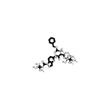 C[C@@H](O[Si](C)(C)C(C)(C)C)[C@H](C(=O)Nc1ccc2c(cnn2C(=O)OC(C)(C)C)n1)N(C)C(=O)OCc1ccccc1